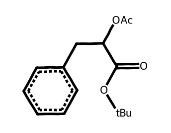 CC(=O)OC(Cc1ccccc1)C(=O)OC(C)(C)C